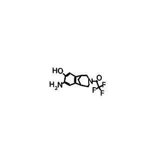 Nc1cc2c(cc1O)C1CC2CN(C(=O)C(F)(F)F)C1